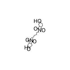 O=C1C2CCC(O)CC2C(=O)N1CCCCCCN1C(=O)C2CC3O[C@H]3CC2C1=O